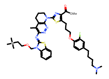 COC(=O)c1nc(N2CCCc3c2nnc(/N=c2\sc4ccccc4n2COCC[Si](C)(C)C)c3C)sc1CCCOc1ccc(CCCCN(C)C)cc1F